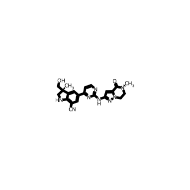 CN1CCn2nc(Nc3nccc(-c4cc(C#N)c5c(c4)[C@@](C)(CO)CN5)n3)cc2C1=O